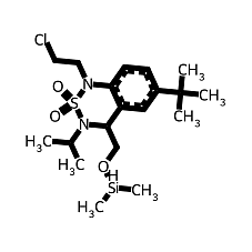 CC(C)N1C(CO[SiH](C)C)c2cc(C(C)(C)C)ccc2N(CCCl)S1(=O)=O